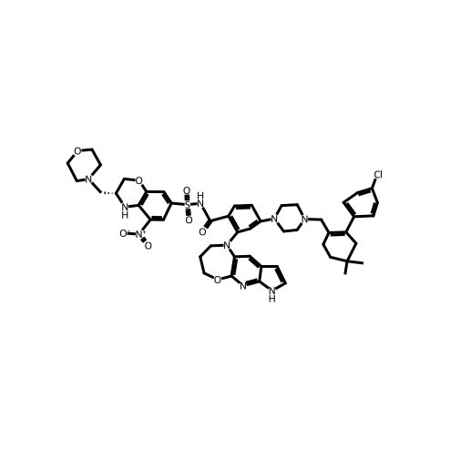 CC1(C)CCC(CN2CCN(c3ccc(C(=O)NS(=O)(=O)c4cc5c(c([N+](=O)[O-])c4)N[C@H](CN4CCOCC4)CO5)c(N4CCCOc5nc6[nH]ccc6cc54)c3)CC2)=C(c2ccc(Cl)cc2)C1